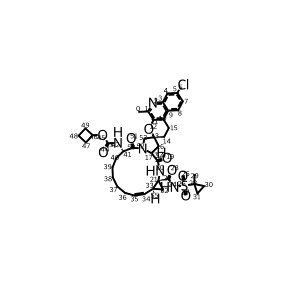 Cc1nc2cc(Cl)ccc2c2c1O[C@]1(CC2)C[C@H]2C(=O)N[C@]3(C(=O)NS(=O)(=O)C4(C)CC4)C[C@H]3/C=C\CCCCC[C@H](NC(=O)OC3CCC3)C(=O)N2C1